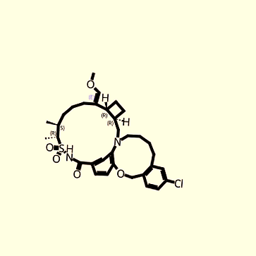 CO/C=C1\CCC[C@H](C)[C@@H](C)S(=O)(=O)NC(=O)c2ccc3c(c2)N(CCCCc2cc(Cl)ccc2CO3)C[C@@H]2CC[C@@H]12